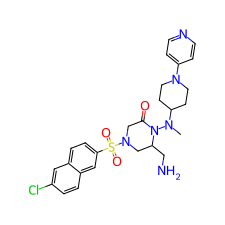 CN(C1CCN(c2ccncc2)CC1)N1C(=O)CN(S(=O)(=O)c2ccc3cc(Cl)ccc3c2)CC1CN